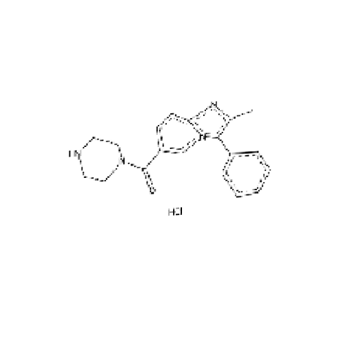 Cc1nc2ccc(C(=O)N3CCNCC3)cn2c1-c1ccccc1.Cl